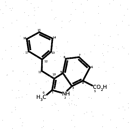 Cc1[nH]c2c(C(=O)O)cccc2c1Cc1ccccc1